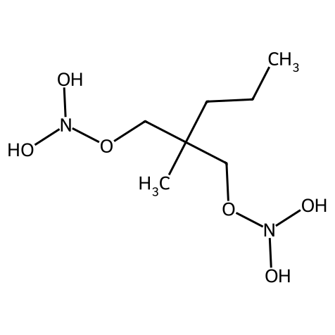 CCCC(C)(CON(O)O)CON(O)O